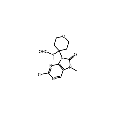 Cn1c(=O)n(C2(NC=O)CCOCC2)c2nc(Cl)ncc21